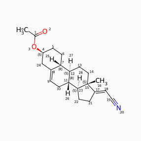 CC(=O)O[C@H]1CC[C@H]2C(=CC[C@@H]3[C@@H]2CC[C@]2(C)C(=CC#N)CC[C@@H]32)C1